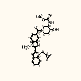 Cn1c(-c2cc3ccccc3n2CC2CC2)nc2cc(C(=O)N3CCC(O)C(NC(=O)OC(C)(C)C)C3)ccc21